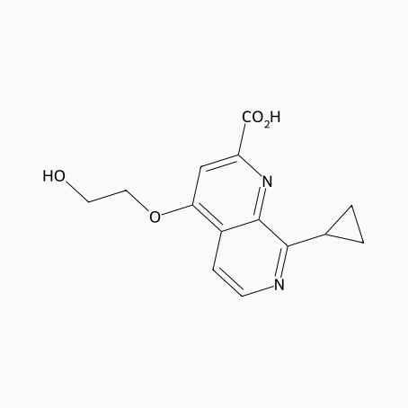 O=C(O)c1cc(OCCO)c2ccnc(C3CC3)c2n1